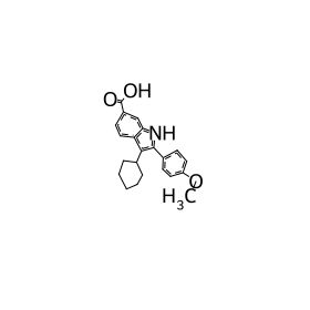 COc1ccc(-c2[nH]c3cc(C(=O)O)ccc3c2C2CCCCC2)cc1